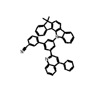 CC1(C)c2ccccc2-c2c1ccc1c3ccccc3n(-c3cc(-c4cccc(C#N)c4)cc(-c4cc(-c5ccccc5)c5ccccc5n4)c3)c21